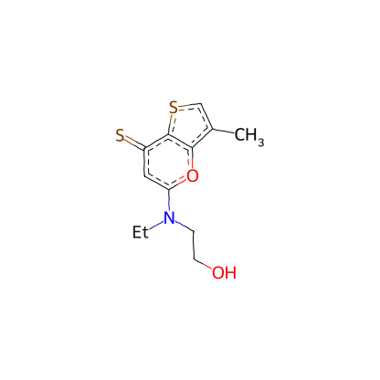 CCN(CCO)c1cc(=S)c2scc(C)c2o1